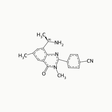 Cc1cc([C@@H](C)N)c2nc(-c3ccc(C#N)cc3)n(C)c(=O)c2c1